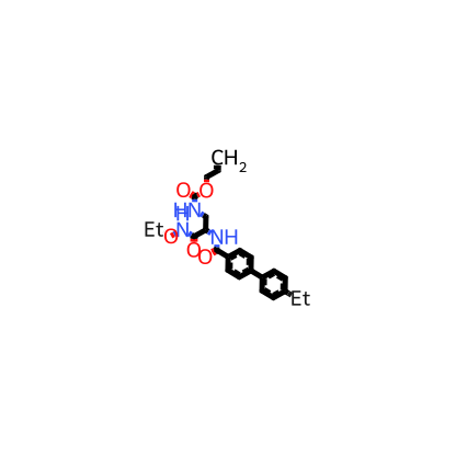 C=CCOC(=O)NCC(NC(=O)c1ccc(-c2ccc(CC)cc2)cc1)C(=O)NOCC